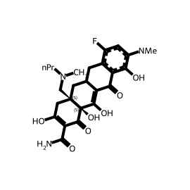 CCCN(C)C[C@]12CC(O)=C(C(N)=O)C(=O)[C@@]1(O)C(O)=C1C(=O)c3c(O)c(NC)cc(F)c3CC1C2